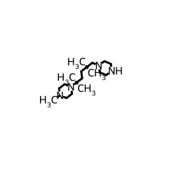 CN1CCN(C(C)(C)CCC(C)(C)CN2CCNCC2)CC1